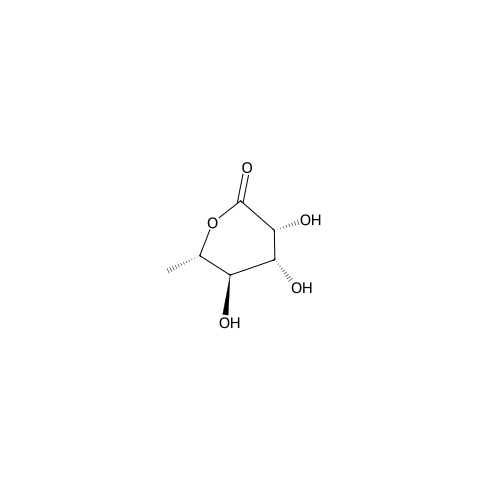 C[C@@H]1OC(=O)[C@H](O)[C@H](O)[C@H]1O